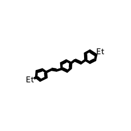 CCc1ccc(C=Cc2ccc(C=Cc3ccc(CC)cc3)cc2)cc1